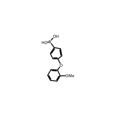 COc1ccccc1Oc1ccc(B(O)O)cc1